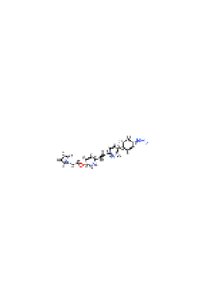 Nc1ccc(-c2ccc(C#Cc3ccc(OCCN4CCCC4)cn3)nc2)cc1